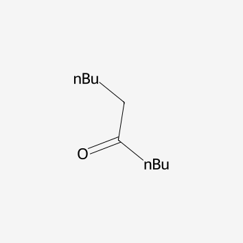 [CH2]CCCCC(=O)CCCC